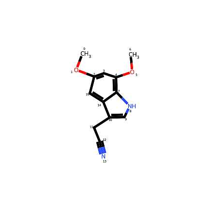 COc1cc(OC)c2[nH]cc(CC#N)c2c1